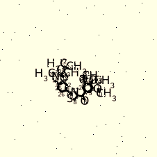 COc1cc(C(=O)C2CSC(C3=CC=C(CN(C)C(=O)OC(C)(C)C)CC3)=N2)cc(OC)c1OC